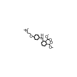 COC(=O)c1cccc(Nc2ccc(OCCN(C)C)cc2)c1C(=O)OC